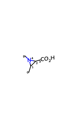 CC1C(C(=O)O)N1C